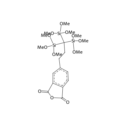 CO[Si](OC)(OC)C(CCc1ccc2c(c1)C(=O)OC2=O)([Si](OC)(OC)OC)[Si](OC)(OC)OC